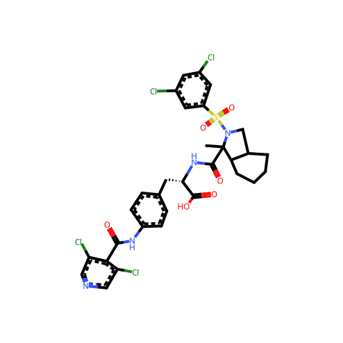 CC1(C(=O)N[C@@H](Cc2ccc(NC(=O)c3c(Cl)cncc3Cl)cc2)C(=O)O)C2CCCCC2CN1S(=O)(=O)c1cc(Cl)cc(Cl)c1